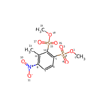 COS(=O)(=O)c1ccc([N+](=O)[O-])c(C)c1S(=O)(=O)OC